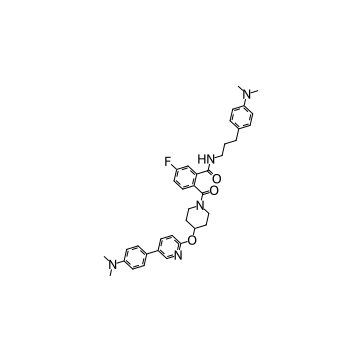 CN(C)c1ccc(CCCNC(=O)c2cc(F)ccc2C(=O)N2CCC(Oc3ccc(-c4ccc(N(C)C)cc4)cn3)CC2)cc1